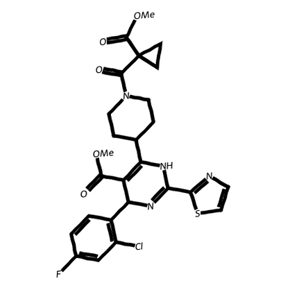 COC(=O)C1=C(C2CCN(C(=O)C3(C(=O)OC)CC3)CC2)NC(c2nccs2)=NC1c1ccc(F)cc1Cl